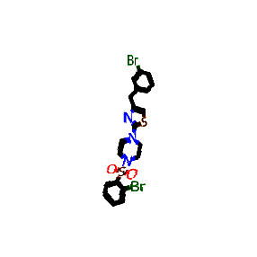 O=S(=O)(c1ccccc1Br)N1CCN(c2nc(Cc3cccc(Br)c3)cs2)CC1